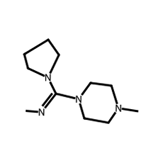 CN=C(N1CCCC1)N1CCN(C)CC1